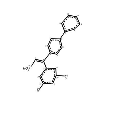 O=C(O)C=C(c1ccc(-c2ccccc2)cc1)c1cc(Cl)cc(Cl)c1